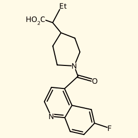 CCC(C(=O)O)C1CCN(C(=O)c2ccnc3ccc(F)cc23)CC1